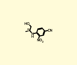 C[C@@H](CO)Nc1ccc(C#N)cc1[N+](=O)[O-]